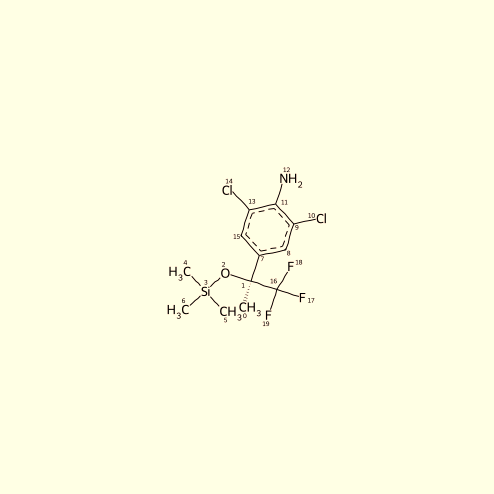 C[C@](O[Si](C)(C)C)(c1cc(Cl)c(N)c(Cl)c1)C(F)(F)F